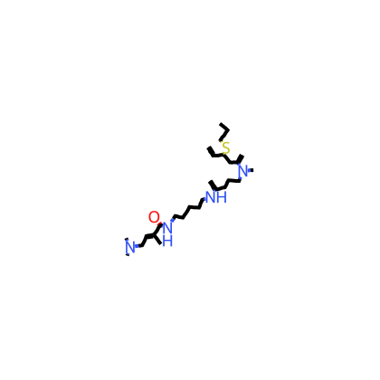 C=CC(CC(=C)N(C)CCCC(=C)NCCCCCNC(=O)/C(C)=C/CN(C)C)SCCC